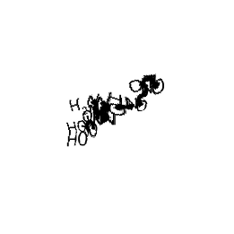 Nc1nc(OCCNC(=O)CCN2C(=O)C=CC2=O)c2ncn([C@@H]3O[C@H](CO)[C@@H](O)[C@H]3O)c2n1